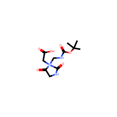 CC(C)(C)OC(=O)NC[N+]1(CC(=O)O)C(=O)CNC1=O